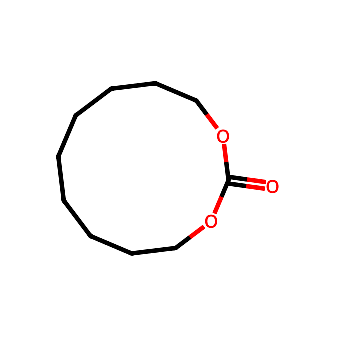 O=C1OCCCCCCCCCO1